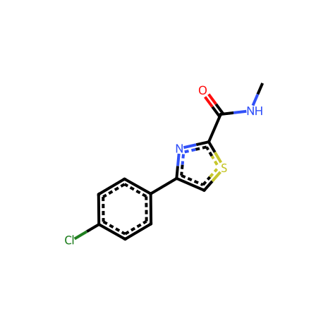 CNC(=O)c1nc(-c2ccc(Cl)cc2)cs1